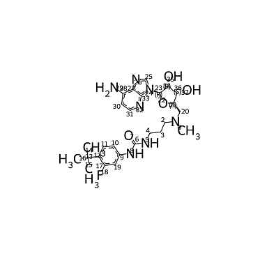 CN(CCCNC(=O)Nc1ccc(C(C)(C)C)c(F)c1)C[C@H]1O[C@@H](n2cnc3c(N)ccnc32)[C@H](O)[C@@H]1O